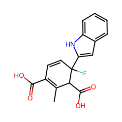 CC1=C(C(=O)O)C=CC(F)(c2cc3ccccc3[nH]2)C1C(=O)O